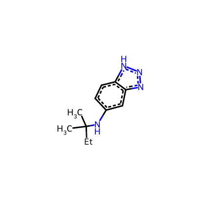 CCC(C)(C)Nc1ccc2[nH]nnc2c1